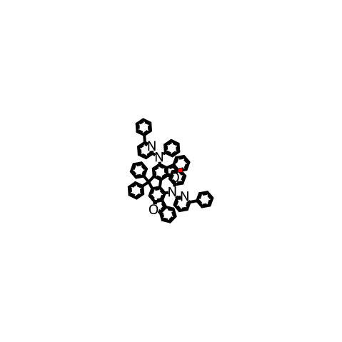 c1ccc(-c2cccc(N(c3ccccc3)c3c4c(cc5oc6ccccc6c35)C(c3ccccc3)(c3ccccc3)c3cc(N(c5ccccc5)c5cccc(-c6ccccc6)n5)c5c(oc6ccccc65)c3-4)n2)cc1